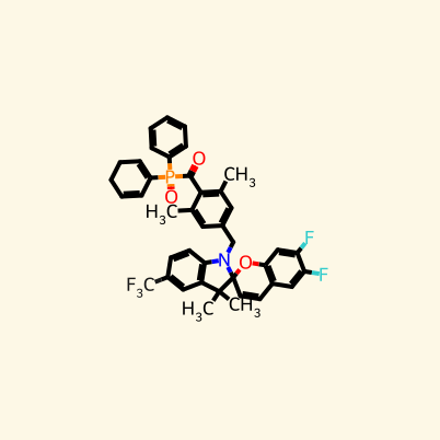 Cc1cc(CN2c3ccc(C(F)(F)F)cc3C(C)(C)C23C=Cc2cc(F)c(F)cc2O3)cc(C)c1C(=O)P(=O)(C1=CCCC=C1)c1ccccc1